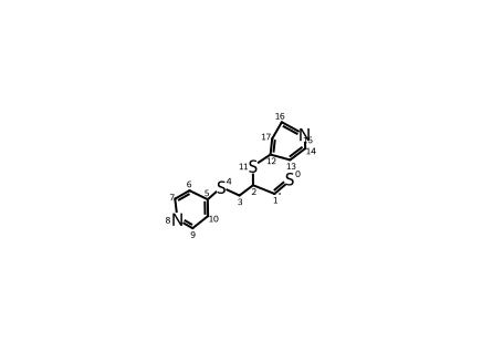 S=[C]C(CSc1ccncc1)Sc1ccncc1